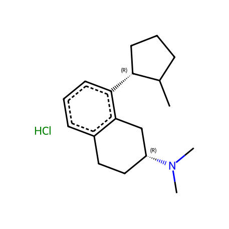 CC1CCC[C@H]1c1cccc2c1C[C@H](N(C)C)CC2.Cl